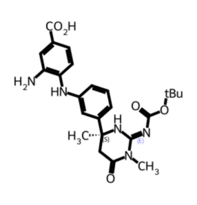 CN1C(=O)C[C@@](C)(c2cccc(Nc3ccc(C(=O)O)cc3N)c2)N/C1=N\C(=O)OC(C)(C)C